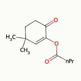 CCCC(=O)OC1=CC(C)(C)CCC1=O